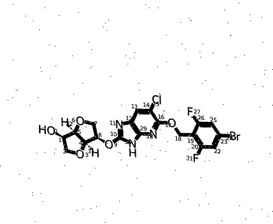 O[C@@H]1CO[C@H]2[C@@H]1OC[C@H]2Oc1nc2cc(Cl)c(OCc3c(F)cc(Br)cc3F)nc2[nH]1